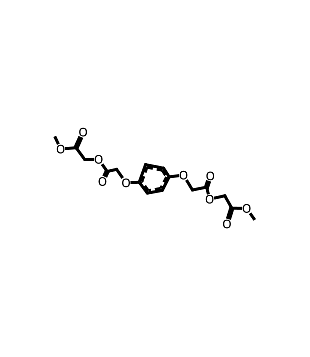 COC(=O)COC(=O)COc1ccc(OCC(=O)OCC(=O)OC)cc1